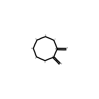 C=C1CCCCCCC1=C